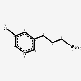 CCCCCCCCc1cncc(Cl)c1